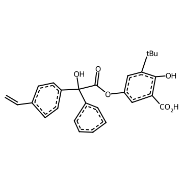 C=Cc1ccc(C(O)(C(=O)Oc2cc(C(=O)O)c(O)c(C(C)(C)C)c2)c2ccccc2)cc1